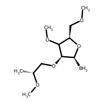 B[C@@H]1O[C@H](COC)C(OC)[C@@H]1OC[C@@H](C)OC